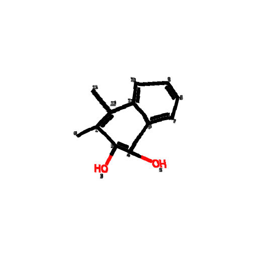 Cc1c(O)c(O)c2ccccc2c1C